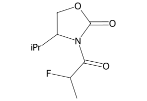 CC(F)C(=O)N1C(=O)OCC1C(C)C